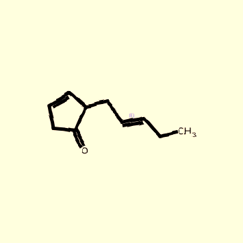 CC/C=C/CC1C=CCC1=O